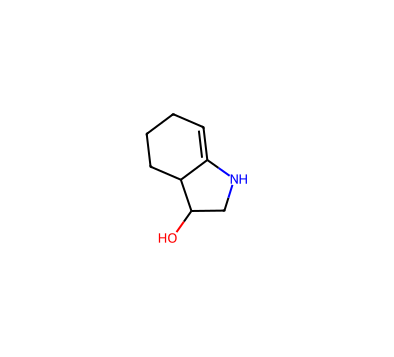 OC1CNC2=CCCCC21